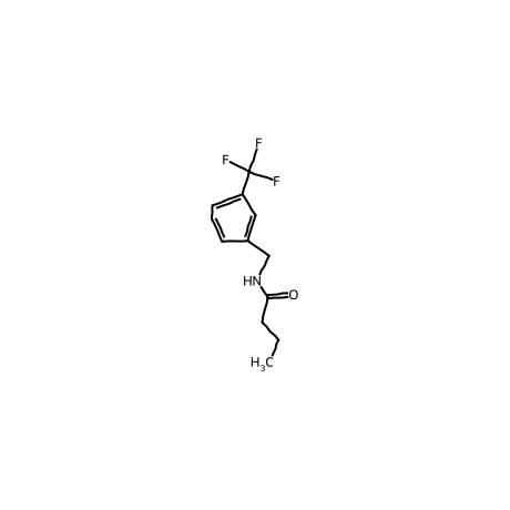 CCCC(=O)NCc1cccc(C(F)(F)F)c1